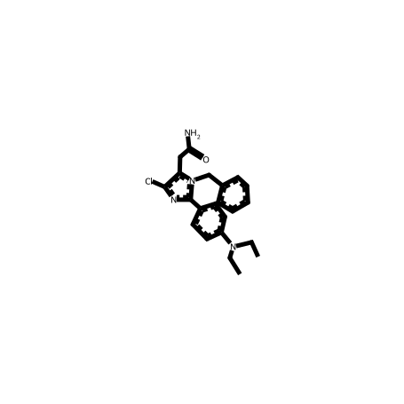 CCN(CC)c1ccc(-c2nc(Cl)c(CC(N)=O)n2Cc2ccccc2)cc1